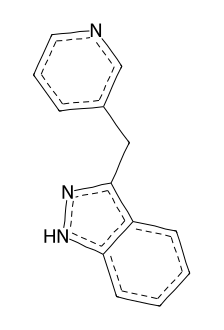 c1cncc(Cc2n[nH]c3ccccc23)c1